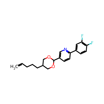 C=CCCCC1COC(c2ccc(-c3ccc(F)c(F)c3)nc2)OC1